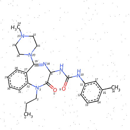 CCCN1C(=O)C(NC(=O)Nc2cccc(C)c2)N=C(N2CCN(C)CC2)c2ccccc21